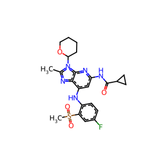 Cc1nc2c(Nc3ccc(F)cc3S(C)(=O)=O)cc(NC(=O)C3CC3)nc2n1C1CCCCO1